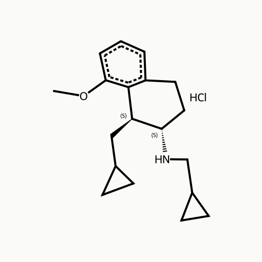 COc1cccc2c1[C@H](CC1CC1)[C@@H](NCC1CC1)CC2.Cl